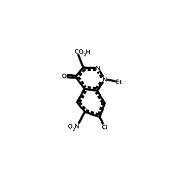 CCn1nc(C(=O)O)c(=O)c2cc([N+](=O)[O-])c(Cl)cc21